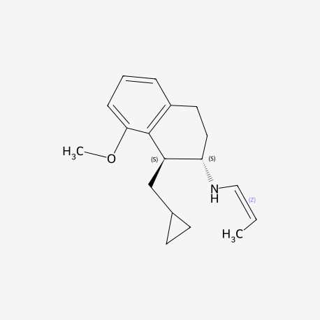 C/C=C\N[C@H]1CCc2cccc(OC)c2[C@@H]1CC1CC1